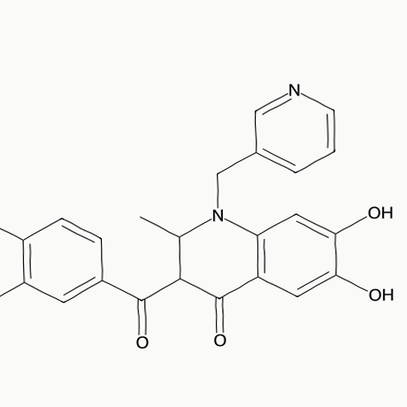 Cc1ccc(C(=O)C2C(=O)c3cc(O)c(O)cc3N(Cc3cccnc3)C2C)cc1C